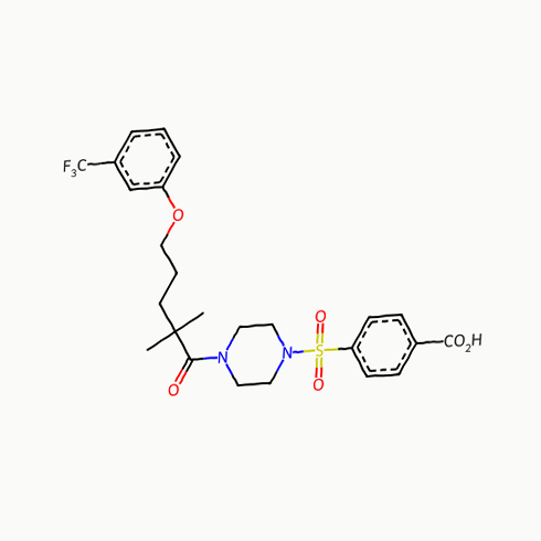 CC(C)(CCCOc1cccc(C(F)(F)F)c1)C(=O)N1CCN(S(=O)(=O)c2ccc(C(=O)O)cc2)CC1